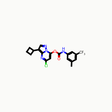 Cc1cc(NC(=O)Oc2cc(Cl)nc3c(C4CCC4)cnn23)cc(C(F)(F)F)c1